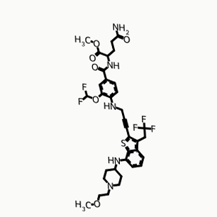 COCCN1CCC(Nc2cccc3c(CC(F)(F)F)c(C#CCNc4ccc(C(=O)NC(CCC(N)=O)C(=O)OC)cc4OC(F)F)sc23)CC1